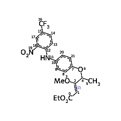 CCOC(=O)/C=C(\OC)C(C)Oc1ccc(Nc2ccc(C(F)(F)F)cc2[N+](=O)[O-])cc1